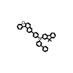 CC1(C)c2ccccc2-c2ccc(N(c3ccc(-c4ccc5c(ccc6oc7ccccc7c65)c4)cc3)c3cccc(-c4ccccc4)c3)cc21